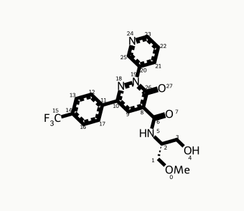 COC[C@@H](CO)NC(=O)c1cc(-c2ccc(C(F)(F)F)cc2)nn(-c2cccnc2)c1=O